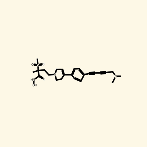 CN(C)CC#CC#Cc1ccc(C2=CCN(CCC(C)(C(=O)NO)S(C)(=O)=O)CC2)cc1